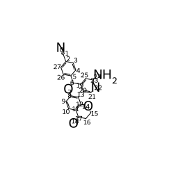 N#Cc1ccc(C(Oc2ccc3c(c2)OCCC3=O)c2ccnc(N)c2)cc1